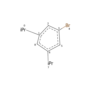 CC(C)c1cc(Br)cc(C(C)C)c1